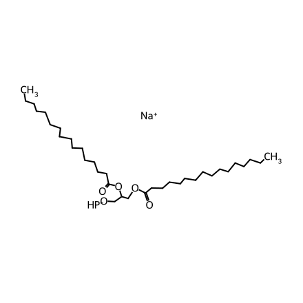 CCCCCCCCCCCCCCCC(=O)OCC(CO[PH-])OC(=O)CCCCCCCCCCCCCCC.[Na+]